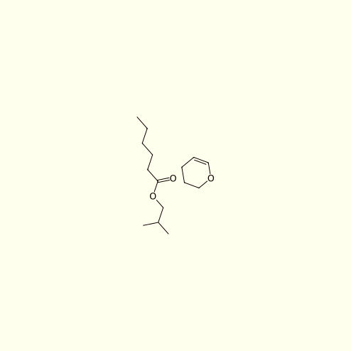 C1=COCCC1.CCCCCC(=O)OCC(C)C